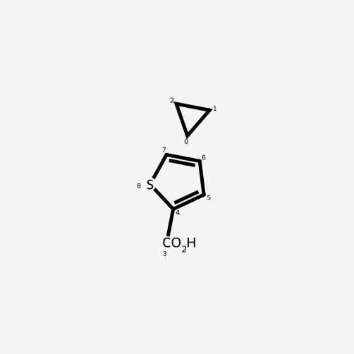 C1CC1.O=C(O)c1cccs1